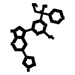 CC[C@](O)(c1ccncc1)c1cc(-c2c[nH]c3ncc(-c4cn[nH]c4)cc23)nc(N)n1